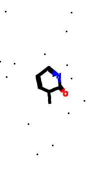 CC1C=CC=NC1=O